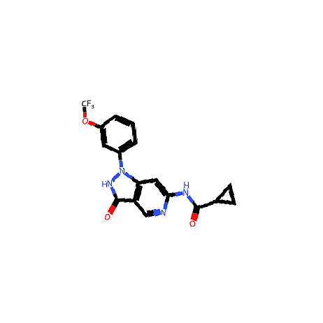 O=C(Nc1cc2c(cn1)c(=O)[nH]n2-c1cccc(OC(F)(F)F)c1)C1CC1